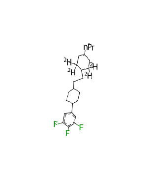 [2H]C1([2H])CC(CCC)CC([2H])([2H])C1CCC1CCC(c2cc(F)c(F)c(F)c2)CC1